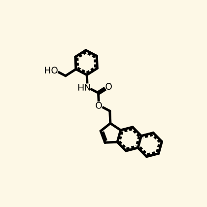 O=C(Nc1ccccc1CO)OCC1C=Cc2cc3ccccc3cc21